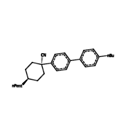 CCCCC[C@H]1CC[C@@](C#N)(c2ccc(-c3ccc(CCCC)cc3)cc2)CC1